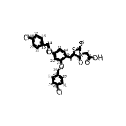 O=C(O)CN1C(=O)/C(=C/c2ccc(OCc3ccc(Cl)cc3)cc2OCc2ccc(Cl)cc2)SC1=S